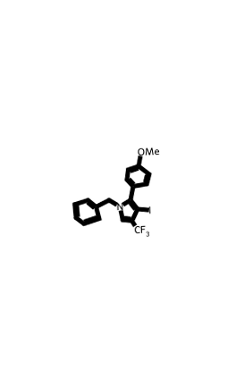 COc1ccc(-c2c(I)c(C(F)(F)F)cn2Cc2ccccc2)cc1